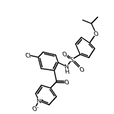 CC(C)Oc1ccc(S(=O)(=O)Nc2ccc(Cl)cc2C(=O)c2cc[n+]([O-])cc2)cc1